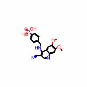 COc1cc2ncc(C#N)c(NCc3ccc(P(=O)(O)O)cc3)c2cc1OC